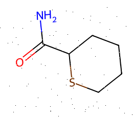 NC(=O)C1CCCCS1